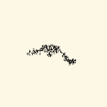 CCc1c2c(nc3ccc(OC(=O)OCCSSC[C@H](NC(=O)[C@H](CC(=O)O)NC(=O)[C@H](CCCNC(=N)N)NC(=O)[C@H](CC(=O)O)NC(=O)CCC(NC(=O)c4ccc(NCc5cnc6nc(N)[nH]c(=O)c6n5)cc4)C(=O)O)C(=O)O)cc13)-c1cc3c(c(=O)n1C2)COC(=O)[C@]3(O)CC